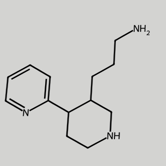 NCCCC1CNCCC1c1ccccn1